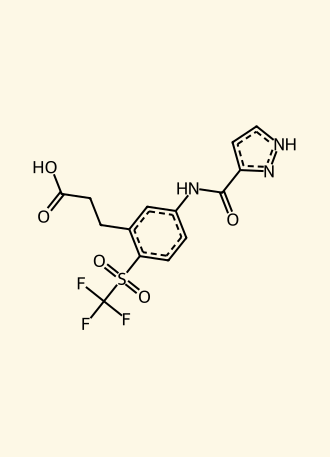 O=C(O)CCc1cc(NC(=O)c2cc[nH]n2)ccc1S(=O)(=O)C(F)(F)F